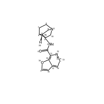 O=C(N[C@H]1CN2CCC1CC2)c1n[13cH]cc2ccoc12